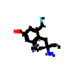 C[C@](N)(Cc1c(I)cc(O)cc1CF)C(=O)O